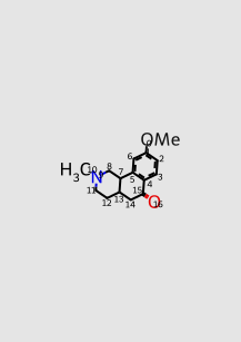 COc1ccc2c(c1)C1CN(C)CCC1CC2=O